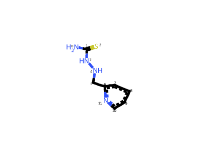 NC(=S)NNCc1ccccn1